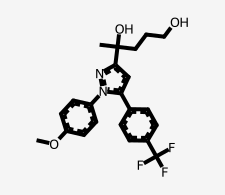 COc1ccc(-n2nc(C(C)(O)CCCO)cc2-c2ccc(C(F)(F)F)cc2)cc1